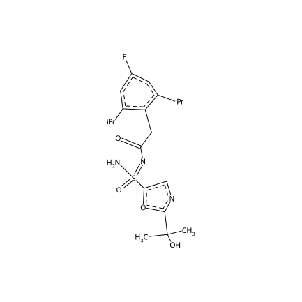 CC(C)c1cc(F)cc(C(C)C)c1CC(=O)N=S(N)(=O)c1cnc(C(C)(C)O)o1